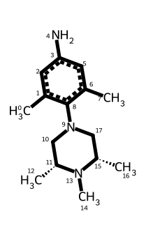 Cc1cc(N)cc(C)c1N1C[C@@H](C)N(C)[C@@H](C)C1